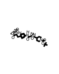 COC(=O)C(Cc1ccc(NC(=O)c2nnc(C3CCN(C(=O)OC(C)(C)C)CC3)o2)cc1)NS(C)(=O)=O